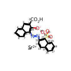 O=C(O)c1cc2ccccc2c(N=Nc2ccc3ccccc3c2S(=O)(=O)[O-])c1[O-].[Sr+2]